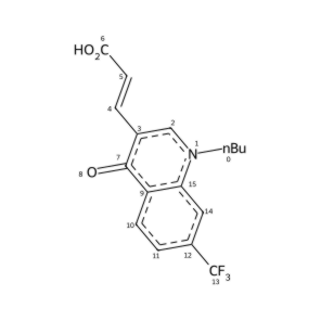 CCCCn1cc(C=CC(=O)O)c(=O)c2ccc(C(F)(F)F)cc21